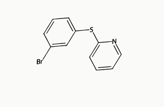 Brc1cccc(Sc2ccccn2)c1